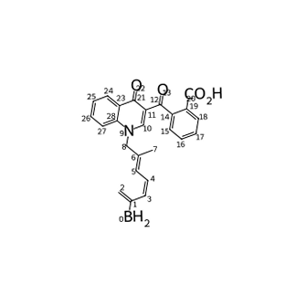 BC(=C)/C=C\C=C(/C)Cn1cc(C(=O)c2ccccc2C(=O)O)c(=O)c2ccccc21